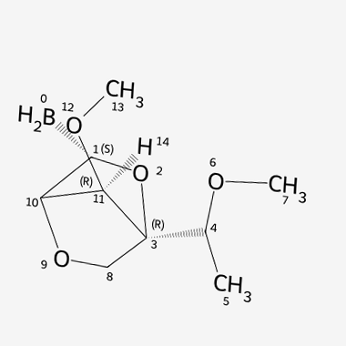 B[C@@H]1O[C@@]2(C(C)OC)COC1[C@H]2OC